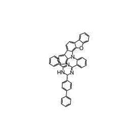 c1ccc(C2=NC(c3ccccc3-n3c4ccccc4c4ccc5c6ccccc6oc5c43)=NC(c3ccc(-c4ccccc4)cc3)N2)cc1